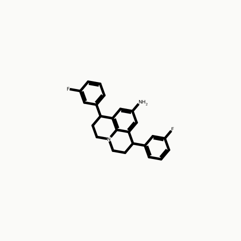 Nc1cc2c3c(c1)C(c1cccc(F)c1)CCN3CCC2c1cccc(F)c1